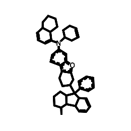 CC1CCCC2C1C1C=CC=CC1C2(c1ccccc1)C1CCc2c(oc3cc(N(C4=CC=CC5CCCCC45)C4CC=CCC4)ccc23)C1